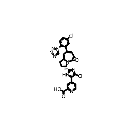 O=C(O)c1cc(-c2[nH]c([C@@H]3CCC4=CC(c5cc(Cl)ccc5-n5cnnn5)=CC5OC5N43)nc2Cl)ccn1